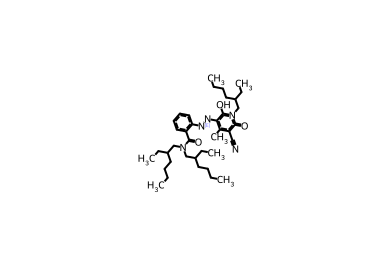 CCCCC(CC)CN(CC(CC)CCCC)C(=O)c1ccccc1/N=N/c1c(C)c(C#N)c(=O)n(CC(CC)CCCC)c1O